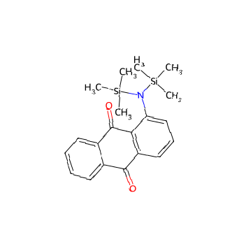 C[Si](C)(C)N(c1cccc2c1C(=O)c1ccccc1C2=O)[Si](C)(C)C